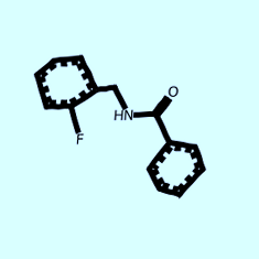 O=C(NCc1ccccc1F)c1cc[c]cc1